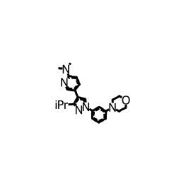 CC(C)c1nn(-c2cccc(N3CCOCC3)c2)cc1-c1ccc(N(C)C)nc1